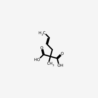 CC=CCC(C)(C(=O)O)C(=O)O